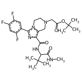 CNC(=O)C(NC(=O)c1nc(-c2cc(F)c(F)cc2F)n2c1CN(CC(=O)OC(C)(C)C)CC2)C(C)(C)C